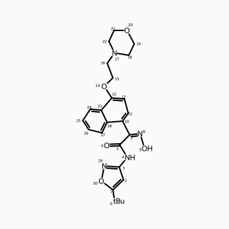 CC(C)(C)c1cc(NC(=O)/C(=N\O)c2ccc(OCCN3CCOCC3)c3ccccc23)no1